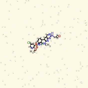 CNc1nc2nc(NCC3COC3)ncc2cc1-c1cccc(NS(=O)(=O)c2cc(Cl)cnc2OC)c1F